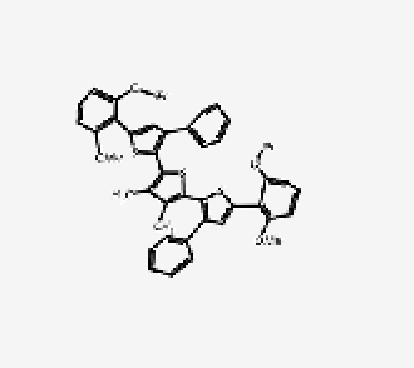 COc1cccc(OC(C)C)c1-c1cc(-c2ccccc2)c(-c2sc(-c3sc(-c4c(OC)cccc4OC(C)C)cc3-c3ccccc3)c(C)c2C)s1